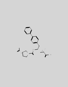 C[C@H](C[C@@H](Cc1ccc(-c2ccccc2)cc1)NC(=O)N1CC[C@@H](C(=O)O)C1)C(=O)O